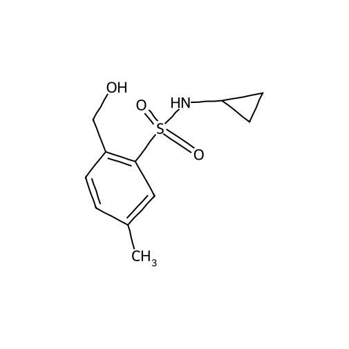 Cc1ccc(CO)c(S(=O)(=O)NC2CC2)c1